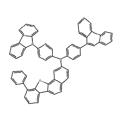 c1ccc(-c2cccc3c2oc2c4cc(N(c5ccc(-c6cc7ccccc7c7ccccc67)cc5)c5ccc(-n6c7ccccc7c7ccccc76)cc5)ccc4ccc32)cc1